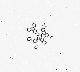 CC(C)(C)c1ccc2c(c1)c1cc(C(C)(C)C)cc3c1n2B1c2cc4cc5c6ccccc6c6ccccc6c5cc4cc2N(c2cc(-c4ccccc4)cc(-c4ccccc4)c2)c2cc4ccccc4c-3c21